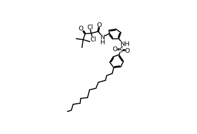 CCCCCCCCCCCCc1ccc(S(=O)(=O)Nc2cccc(NC(=O)C(Cl)(Cl)C(=O)C(C)(C)C)c2)cc1